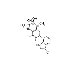 C[C@@H]1c2cc(-c3cccc4c(Cl)c[nH]c34)c(F)c(F)c2NC(C)(C)[C@H]1O